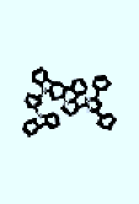 c1ccc(-c2cc(-c3ccccc3)nc(-c3cccnc3-c3ccccc3-c3ccc4c(c3)c3ccccc3n4-c3cccc(-n4c5ccccc5c5ccccc54)c3)n2)cc1